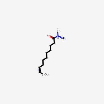 CCCCCCCC/C=C\CCCCCCCC(=O)N(N)CC